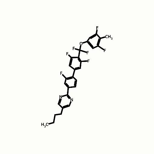 CCCCc1cnc(-c2ccc(-c3cc(F)c(C(F)(F)Oc4cc(F)c(C)c(F)c4)c(F)c3)c(F)c2)nc1